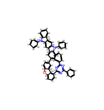 c1ccc(-c2nc(-c3ccccc3)nc(-c3cccc4oc5ccc(-c6ccc7c(c6)c6cc8c(cc6n7-c6ccccc6)c6ccccc6n8-c6ccccc6)cc5c34)n2)cc1